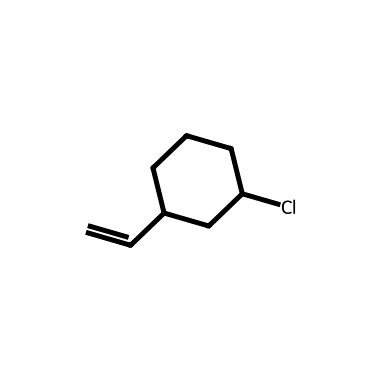 C=CC1CCCC(Cl)C1